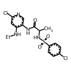 CCNc1cc(Cl)ncc1NC(=O)C(C)NS(=O)(=O)c1ccc(Cl)cc1